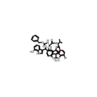 CC(C)C1NC(=O)[C@@H](NC(=O)OCc2ccccc2)Cc2ccc3c(c2)C2(c4cccc(Br)c4N[C@H]2O3)c2oc1nc2C(=O)NCC(=O)c1c[nH]c2c(O)cccc12